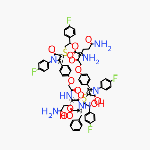 NC(=O)CC[C@H](NC(=O)COc1ccc([C@@H]2[C@@H](SCC(OC(=O)[C@@](N)(CCC(N)=O)C(=O)COc3ccc([C@@H]4[C@@H](SCC(O)c5ccc(F)cc5)C(=O)N4c4ccc(F)cc4)cc3)c3ccc(F)cc3)C(=O)N2c2ccc(F)cc2)cc1)C(=O)N[C@H](Cc1ccccc1)C(=O)O